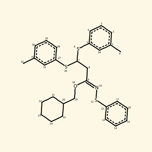 Cc1cccc(SC(C/C(=N/Sc2ccccc2)OCC2CCCCC2)Sc2cccc(C)c2)c1